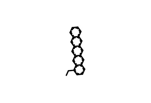 CCc1cccc2cc3cc4cc5ccccc5cc4cc3cc12